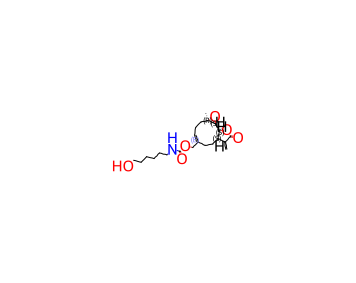 C=C1C(=O)O[C@H]2[C@H]1CC/C(COC(=O)NCCCCCCO)=C\CC[C@@]1(C)O[C@@H]21